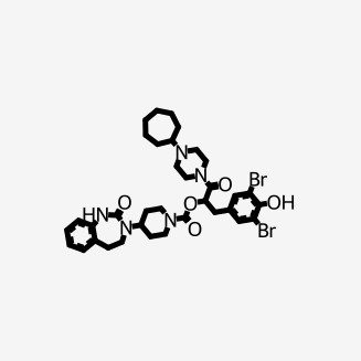 O=C(OC(Cc1cc(Br)c(O)c(Br)c1)C(=O)N1CCN(C2CCCCCC2)CC1)N1CCC(N2CCc3ccccc3NC2=O)CC1